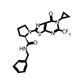 O=C(NCc1ccccc1)[C@H]1CCCN1c1nc2c(=O)n(C3CC3)c(C(F)(F)F)nc2s1